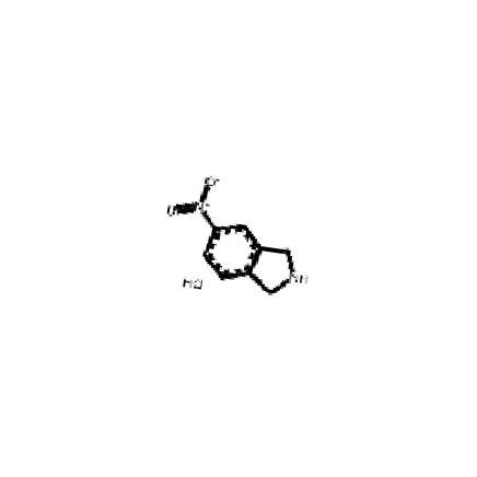 Cl.O=[N+]([O-])c1ccc2c(c1)CNC2